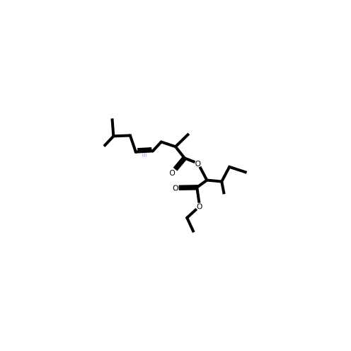 CCOC(=O)C(OC(=O)C(C)C/C=C\CC(C)C)C(C)CC